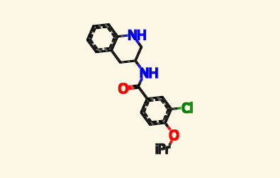 CC(C)Oc1ccc(C(=O)NC2CNc3ccccc3C2)cc1Cl